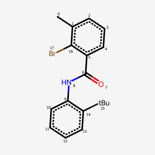 Cc1cccc(C(=O)Nc2ccccc2C(C)(C)C)c1Br